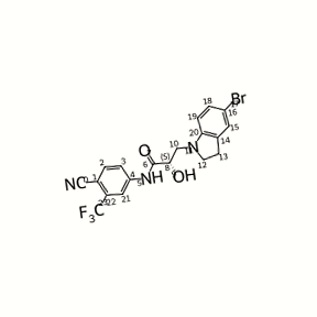 N#Cc1ccc(NC(=O)[C@@H](O)CN2CCc3cc(Br)ccc32)cc1C(F)(F)F